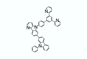 c1ccc(-n2c3ccccc3c3ccc(-c4ccc5c6ncccc6n(-c6ccc(-c7cc(-c8ccccn8)cc(-c8ccccn8)c7)cc6)c5c4)cc32)cc1